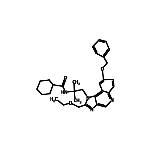 CCOCc1nc2cnc3ccc(OCc4ccccc4)cc3c2n1CC(C)(C)NC(=O)C1CCCCC1